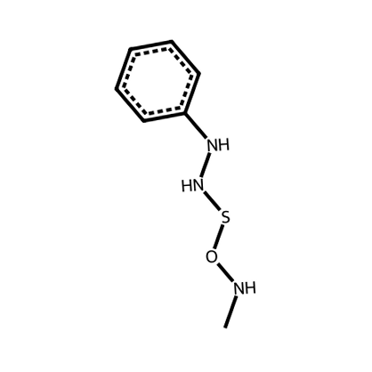 CNOSNNc1ccccc1